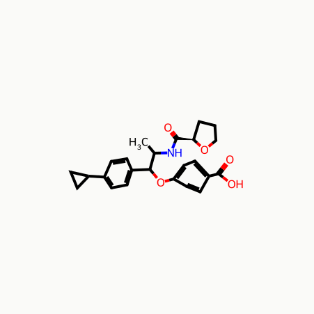 CC(NC(=O)[C@H]1CCCO1)C(Oc1ccc(C(=O)O)cc1)c1ccc(C2CC2)cc1